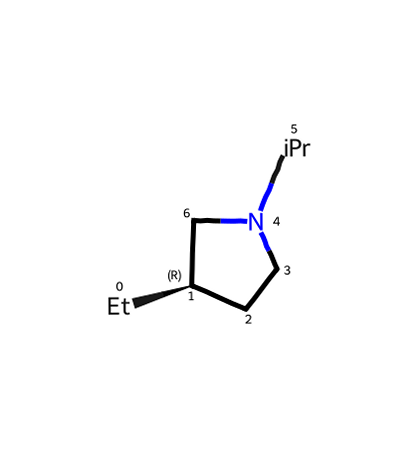 CC[C@@H]1CCN(C(C)C)C1